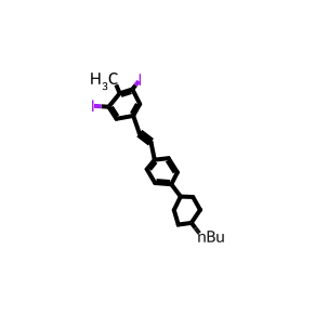 CCCCC1CCC(c2ccc(C#Cc3cc(I)c(C)c(I)c3)cc2)CC1